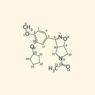 COc1ccc(C2=NOC3CN(C(C)=O)CC23)cc1OC1CCCC1